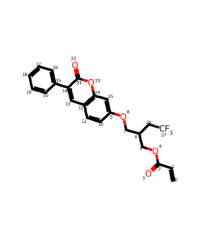 C=CC(=O)OCC(COc1ccc2cc(-c3ccccc3)c(=O)oc2c1)CC(F)(F)F